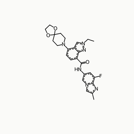 CCn1cc2c(N3CCC4(CC3)OCCO4)ccc(C(=O)Nc3cc(F)c4nc(C)cn4c3)c2n1